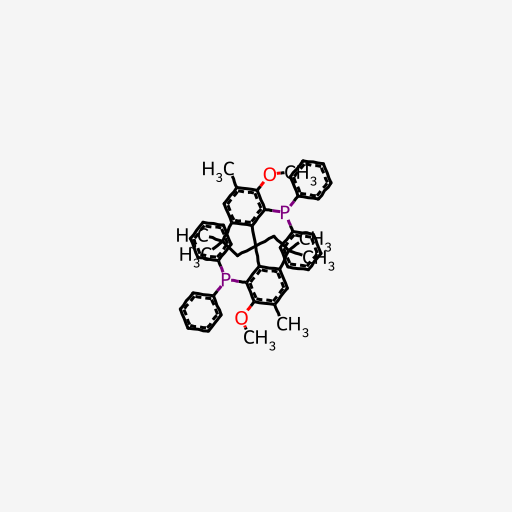 COc1c(C)cc2c(c1P(c1ccccc1)c1ccccc1)C1(CC2(C)C)CC(C)(C)c2cc(C)c(OC)c(P(c3ccccc3)c3ccccc3)c21